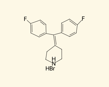 Br.Fc1ccc(C(=C2CCNCC2)c2ccc(F)cc2)cc1